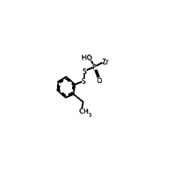 CCc1ccccc1SS[P](=O)(O)[Zr]